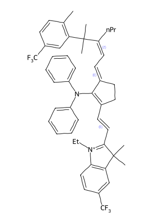 CCC/C(=C/C=C1\CCC(/C=C/C2=[N+](CC)c3ccc(C(F)(F)F)cc3C2(C)C)=C1N(c1ccccc1)c1ccccc1)C(C)(C)c1cc(C(F)(F)F)ccc1C